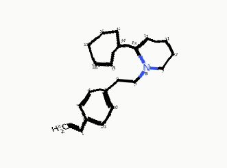 C=Cc1ccc(CCN2CCCCC2C2CCCCC2)cc1